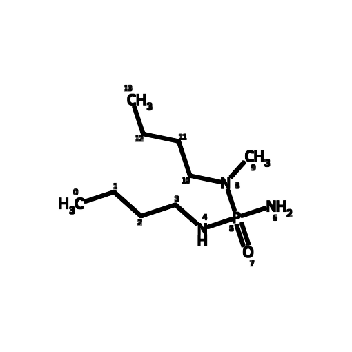 CCCCNP(N)(=O)N(C)CCCC